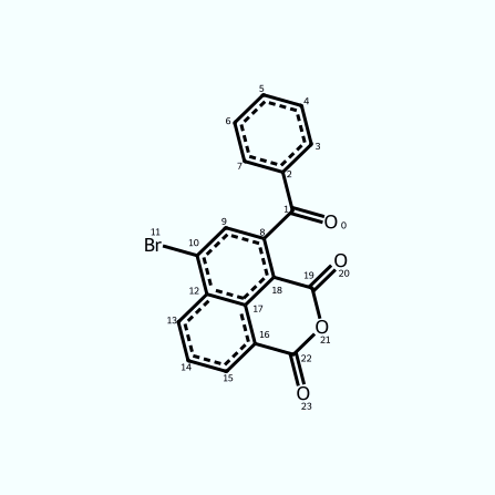 O=C(c1ccccc1)c1cc(Br)c2cccc3c2c1C(=O)OC3=O